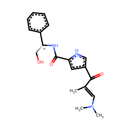 C/C(=C\N(C)C)C(=O)c1c[nH]c(C(=O)N[C@H](CO)c2ccccc2)c1